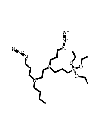 CCCCN(CCCN=[N+]=[N-])CCN(CCCN=[N+]=[N-])CCC[Si](OCC)(OCC)OCC